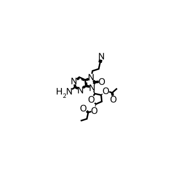 CCC(=O)O[C@H]1C[C@@H](OC(C)=O)[C@H](n2c(=O)n(CCC#N)c3cnc(N)nc32)O1